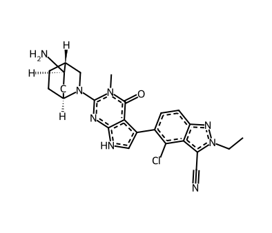 CCn1nc2ccc(-c3c[nH]c4nc(N5C[C@H]6CC[C@H]5C[C@H]6N)n(C)c(=O)c34)c(Cl)c2c1C#N